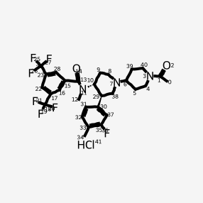 CC(=O)N1CCC(N2CC[C@@H](N(C)C(=O)c3cc(C(F)(F)F)cc(C(F)(F)F)c3)[C@H](c3ccc(C)c(F)c3)C2)CC1.Cl